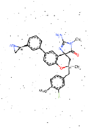 COc1ccc(C[C@]2(C)CC3(N=C(N)N(C)C3=O)c3cc(-c4cccc([C@H]5CN5)c4)ccc3O2)cc1F